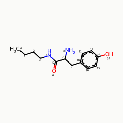 CCCCNC(=O)C(N)Cc1ccc(O)cc1